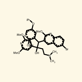 COc1cc(C(O)(CCN(C)C)C(c2cc(OC(C)C)cnc2OC)c2cc3cc(Br)ccc3nc2OC)cc(OC)n1